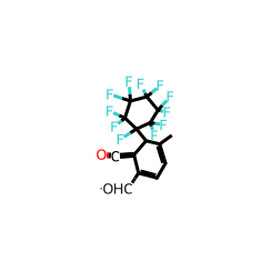 CC1=CC=C([C]=O)C(=C=O)C1C1(F)C(F)(F)C(F)(F)C(F)(F)C(F)(F)C1(F)F